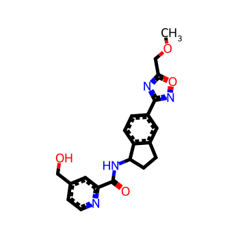 COCc1nc(-c2ccc3c(c2)CCC3NC(=O)c2cc(CO)ccn2)no1